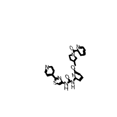 O=C(Nc1cccc(OCC2CCN(C(=O)c3ccccn3)C2)n1)Nc1csc(-c2ccncc2)n1